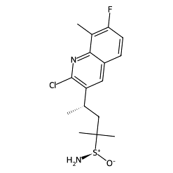 Cc1c(F)ccc2cc([C@@H](C)CC(C)(C)[S@+](N)[O-])c(Cl)nc12